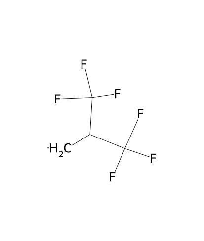 [CH2]C(C(F)(F)F)C(F)(F)F